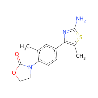 Cc1cc(-c2nc(N)sc2C)ccc1N1CCOC1=O